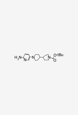 CC(C)(C)OC(=O)N1CCC(C2CCN(c3ccc(N)nc3)CC2)CC1